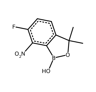 CC1(C)OB(O)c2c1ccc(F)c2[N+](=O)[O-]